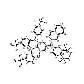 CC(C)(C)c1ccc(N2c3ccc(C(C)(C)C)cc3B3c4cc(C(C)(C)C)ccc4Oc4cc(N(c5ccc6c(c5)C(C)(C)CCC6(C)C)c5ccc6ccccc6c5)nc2c43)cc1